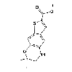 COC(=O)c1cc2cc3c(cc2s1)OC(C)(C)CN3